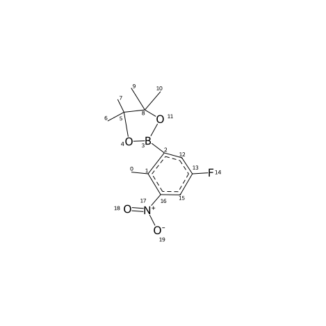 Cc1c(B2OC(C)(C)C(C)(C)O2)cc(F)cc1[N+](=O)[O-]